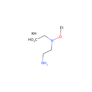 CCON(CCN)CC(=O)O.[KH]